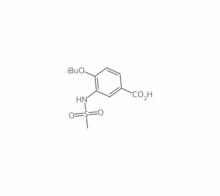 CC(C)COc1ccc(C(=O)O)cc1NS(C)(=O)=O